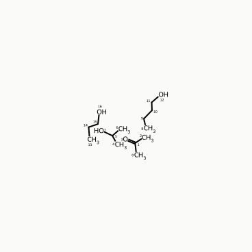 CC(C)=O.CC(C)O.CCCCO.CCCO